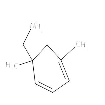 CC1=CC=CC(C)(CN)C1